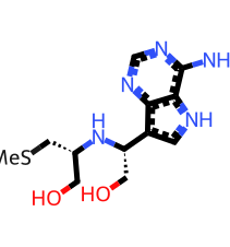 CSC[C@@H](CO)N[C@@H](CO)c1c[nH]c2c(N)ncnc12